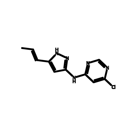 C/C=C/c1cc(Nc2cc(Cl)ncn2)n[nH]1